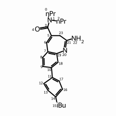 CCCN(CCC)C(=O)C1=Cc2ccc(-c3ccc(C(C)CC)cc3)cc2N=C(N)C1